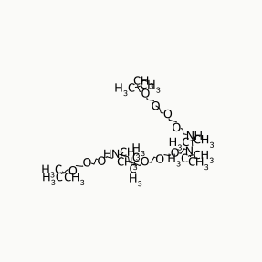 CC(C)(C)COCCOCCOCCNC(C)(C)CCC(C)(C)COCCOCCOCCN(CC(C)(C)NCCOCCOCCOCCOCC(C)(C)C)C(C)(C)C